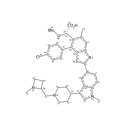 Cc1cc2nc(-c3ccc4c(c3)c(C3CCN(CC5CCN5C)CC3)cn4C)sc2c(-c2ccc(Cl)cc2)c1[C@H](OC(C)(C)C)C(=O)O